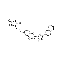 COc1cc(CCCC2NC(=O)OC2=O)ccc1OCc1nc(-c2ccc3ccccc3c2)oc1C